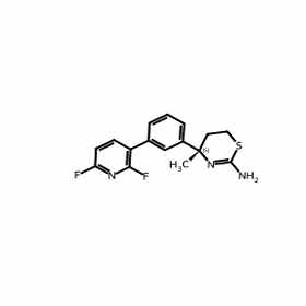 C[C@@]1(c2cccc(-c3ccc(F)nc3F)c2)CCSC(N)=N1